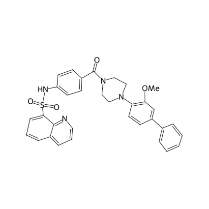 COc1cc(-c2ccccc2)ccc1N1CCN(C(=O)c2ccc(NS(=O)(=O)c3cccc4cccnc34)cc2)CC1